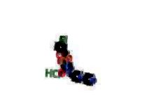 Cl.O=C1CN(S(=O)(=O)c2cc3cc(Cl)ccc3o2)CCN1CC1CCN(c2ccncc2)CC1